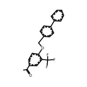 CC(=O)c1ccc(OCc2ccc(-c3ccccc3)cc2)c(C(F)(F)F)c1